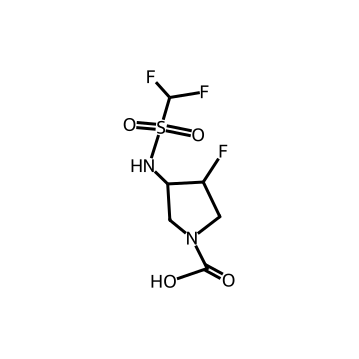 O=C(O)N1CC(F)C(NS(=O)(=O)C(F)F)C1